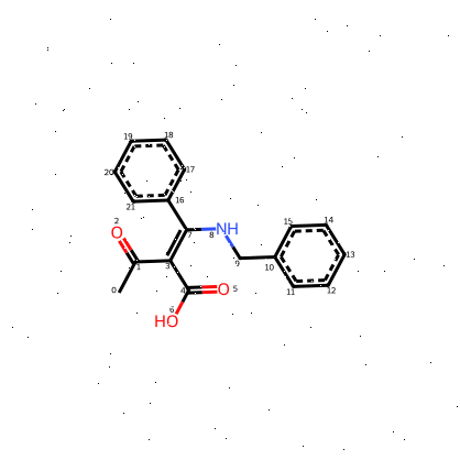 CC(=O)C(C(=O)O)=C(NCc1ccccc1)c1ccccc1